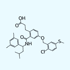 CSc1ccc(Cl)c(COc2ccc(CCC(=O)O)c(C(=O)NC(CC(C)C)c3cc(C)cc(C)c3)c2)c1